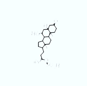 CC(C)[C@@H](CCC1CCC2C3C(CC[C@]12C)[C@@]1(C)CCC(=O)C[C@@H]1C[C@H]3O)OS(=O)(=O)O